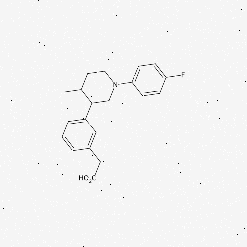 CC1CCN(c2ccc(F)cc2)CC1c1cccc(CC(=O)O)c1